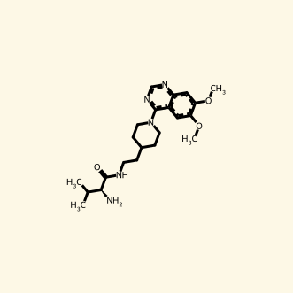 COc1cc2ncnc(N3CCC(CCNC(=O)[C@@H](N)C(C)C)CC3)c2cc1OC